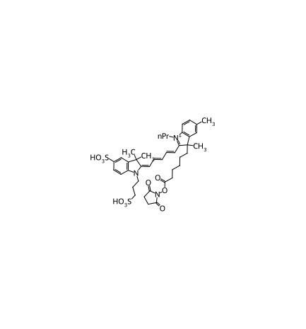 CCC[N+]1=C(/C=C/C=C/C=C2/N(CCCS(=O)(=O)O)c3ccc(S(=O)(=O)O)cc3C2(C)C)C(C)(CCCCCC(=O)ON2C(=O)CCC2=O)c2cc(C)ccc21